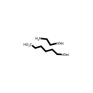 CCCCCCCCCCCCCCCC(=O)O.CCCCCCCCCCCCN